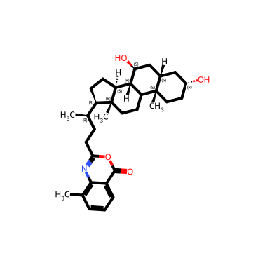 Cc1cccc2c(=O)oc(CC[C@@H](C)[C@H]3CC[C@H]4[C@H]5C(CC[C@]34C)[C@@]3(C)CC[C@@H](O)C[C@H]3C[C@@H]5O)nc12